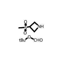 CC(C)(C)OC=O.CS(=O)(=O)C1CNC1